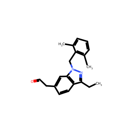 CCc1nn(Cc2c(C)cccc2C)c2cc(CC=O)ccc12